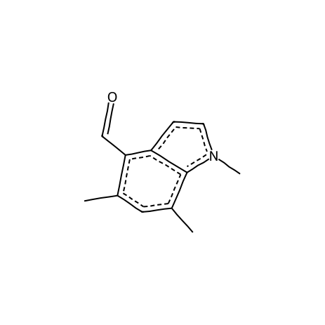 Cc1cc(C)c2c(ccn2C)c1C=O